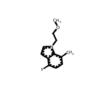 COCCn1ccc2c(F)ccc(C)c21